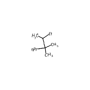 [CH2]CCC(C)(C)C(C)CC